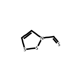 S=CN1C=CSS1